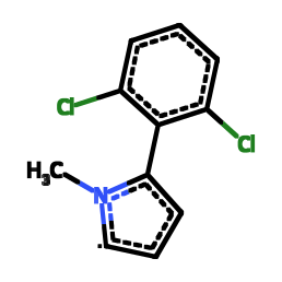 Cn1[c]ccc1-c1c(Cl)cccc1Cl